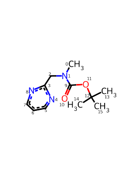 CN(Cc1ncccn1)C(=O)OC(C)(C)C